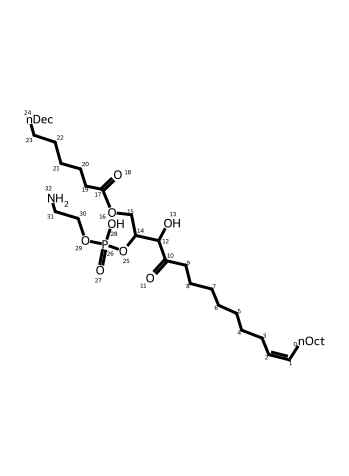 CCCCCCCC/C=C\CCCCCCCC(=O)C(O)C(COC(=O)CCCCCCCCCCCCCCC)OP(=O)(O)OCCN